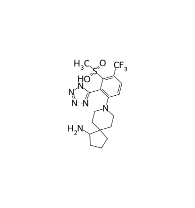 CS(=O)(=O)c1c(C(F)(F)F)ccc(N2CCC3(CCCC3N)CC2)c1-c1nnn[nH]1